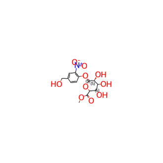 COC(=O)C1O[C@@H](Oc2ccc(CO)cc2[N+](=O)[O-])[C@@H](O)C(O)[C@@H]1O